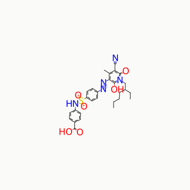 CCCCC(CC)Cn1c(O)c(/N=N/c2ccc(S(=O)(=O)Nc3ccc(C(=O)O)cc3)cc2)c(C)c(C#N)c1=O